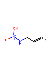 C=CCN[NH+]([O-])O